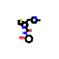 Cc1ccc(Cc2cc(C(=O)N[C@H]3CCCCC[C@@H]3O)nc3ccsc23)cn1